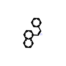 C(=C/c1cccc2ccccc12)/c1ccccc1